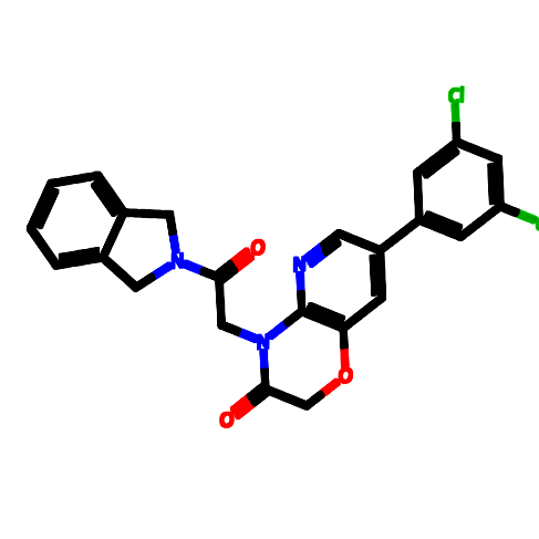 O=C(CN1C(=O)COc2cc(-c3cc(Cl)cc(Cl)c3)cnc21)N1Cc2ccccc2C1